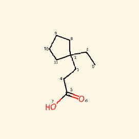 CCC1(CCC(=O)O)CCCC1